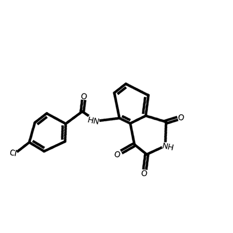 O=C1NC(=O)c2cccc(NC(=O)c3ccc(Cl)cc3)c2C1=O